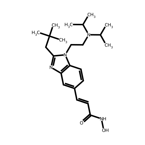 CC(C)N(CCn1c(CC(C)(C)C)nc2cc(/C=C/C(=O)NO)ccc21)C(C)C